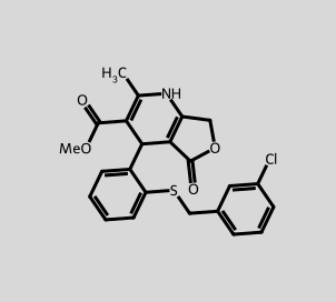 COC(=O)C1=C(C)NC2=C(C(=O)OC2)C1c1ccccc1SCc1cccc(Cl)c1